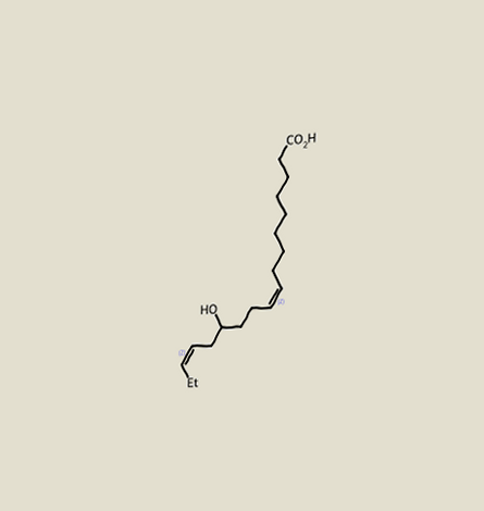 CC/C=C\CC(O)CC/C=C\CCCCCCCC(=O)O